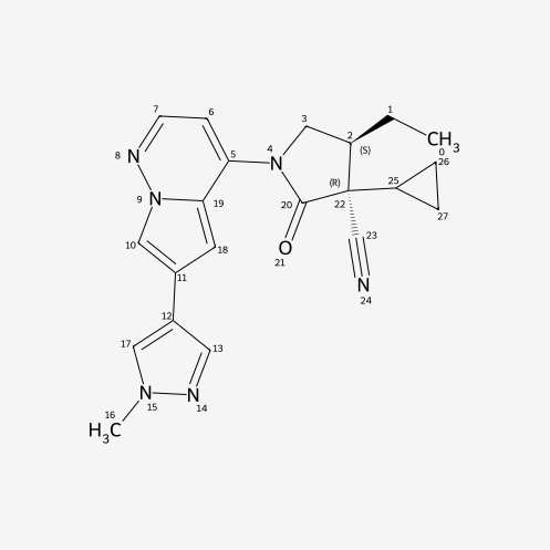 CC[C@@H]1CN(c2ccnn3cc(-c4cnn(C)c4)cc23)C(=O)[C@]1(C#N)C1CC1